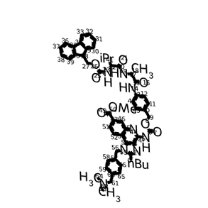 CCCCc1nc2c(NC(=O)OCc3ccc(NC(=O)C(C)NC(=O)C(NC(=O)OCC4c5ccccc5-c5ccccc54)C(C)C)cc3)nc3cc(C(=O)OC)ccc3c2n1Cc1ccc(CN(C)C)cc1